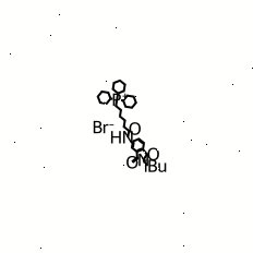 CCC(C)N1C(=O)c2ccc(NC(=O)CCCCC[P+](C3CCCCC3)(C3CCCCC3)C3CCCCC3)cc2C1=O.[Br-]